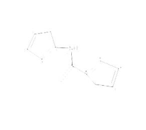 O=C(NC1=CC=CC1)C1=CC=CC1